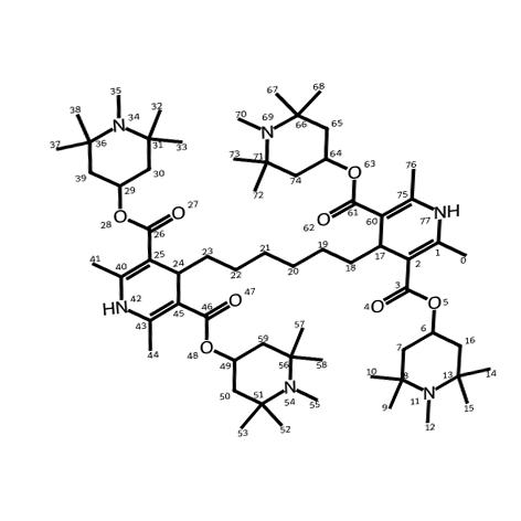 CC1=C(C(=O)OC2CC(C)(C)N(C)C(C)(C)C2)C(CCCCCCC2C(C(=O)OC3CC(C)(C)N(C)C(C)(C)C3)=C(C)NC(C)=C2C(=O)OC2CC(C)(C)N(C)C(C)(C)C2)C(C(=O)OC2CC(C)(C)N(C)C(C)(C)C2)=C(C)N1